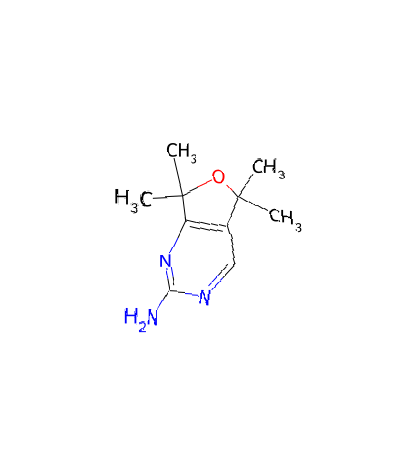 CC1(C)OC(C)(C)c2nc(N)ncc21